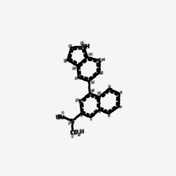 CC(C)(C)N(C(=O)O)c1cc2ccccc2c(-c2cnc3[nH]ccc3c2)n1